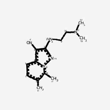 Cc1ccc2c(N=O)c(NCCN(C)C)nn2c1C